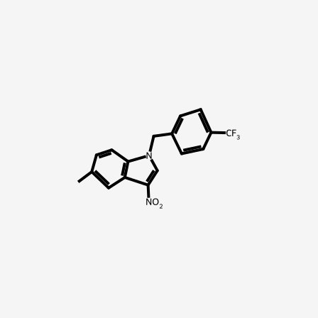 Cc1ccc2c(c1)c([N+](=O)[O-])cn2Cc1ccc(C(F)(F)F)cc1